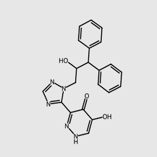 O=c1c(O)c[nH]nc1-c1ncnn1CC(O)C(c1ccccc1)c1ccccc1